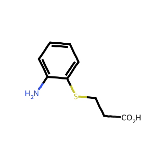 Nc1ccccc1SCCC(=O)O